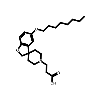 CCCCCCCCOc1ccc2c(c1)C1(CCN(CCC(=O)O)CC1)CO2